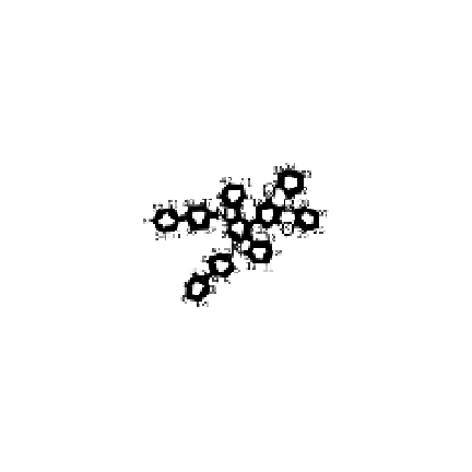 c1ccc(-c2ccc(-n3c4ccccc4c4c(-c5cc6c7c(c5)Oc5ccccc5B7c5ccccc5O6)c5c6ccccc6n(-c6ccc(-c7ccccc7)cc6)c5cc43)cc2)cc1